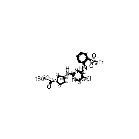 CC(C)S(=O)(=O)c1ccccc1Nc1nc(N[C@@H]2CCN(C(=O)OC(C)(C)C)C2)ncc1Cl